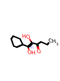 CCCC(=O)/C(O)=C(\O)C1CCCCC1